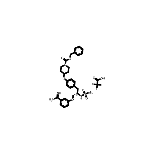 CCCCS(=O)(=O)N[C@H](COc1cccc(C(=N)N)c1)Cc1ccc(OC2CCN(C(=O)OCc3ccccc3)CC2)cc1.O=C(O)C(F)(F)F